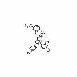 CC(Oc1ccc(C(F)(F)F)cn1)C(=O)NCC1=NN(c2ccc(Cl)cc2Cl)C(c2ccc(Br)cc2)C1